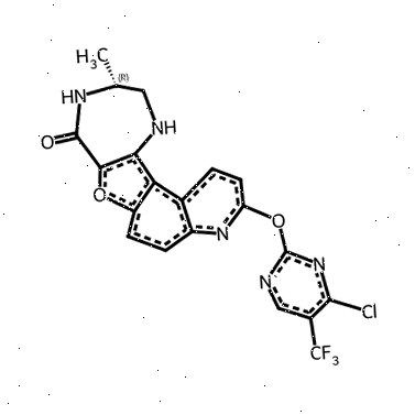 C[C@@H]1CNc2c(oc3ccc4nc(Oc5ncc(C(F)(F)F)c(Cl)n5)ccc4c23)C(=O)N1